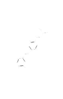 CC(N)CCc1ccc(OCc2ccc(F)cc2)cc1